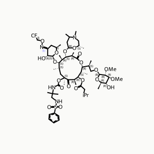 CO[C@@H]1[C@H](O)[C@@H](C)O[C@@H](OC[C@H](C)[C@H]2OC(=O)[C@H](C)[C@@H](O[C@H]3CC(C)N(C)C[C@H](C)O3)[C@H](C)[C@@H](O[C@@H]3O[C@H](C)C/C(=N\OCC(F)(F)F)[C@H]3O)[C@@H](C)C[C@](C)(OC(=O)NC(C)(C)CNS(=O)(=O)c3ccccc3)C(=O)[C@H](C)[C@H](OC(=O)CC(C)C)[C@H]2C)[C@@H]1OC